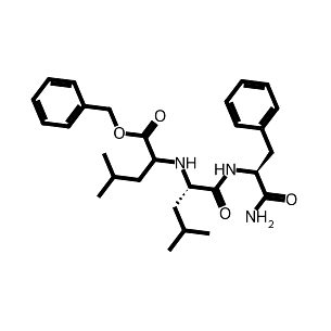 CC(C)CC(N[C@@H](CC(C)C)C(=O)N[C@@H](Cc1ccccc1)C(N)=O)C(=O)OCc1ccccc1